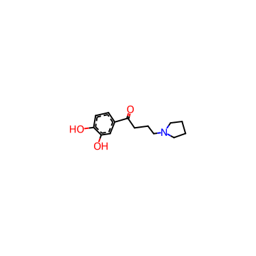 O=C(CCCN1CCCC1)c1ccc(O)c(O)c1